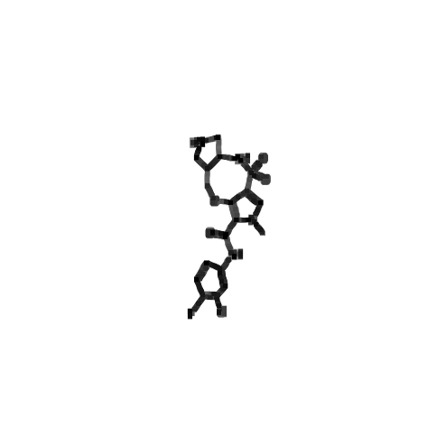 Cn1cc2c(c1C(=O)Nc1ccc(F)c(Cl)c1)OCC1CNCC1NS2(=O)=O